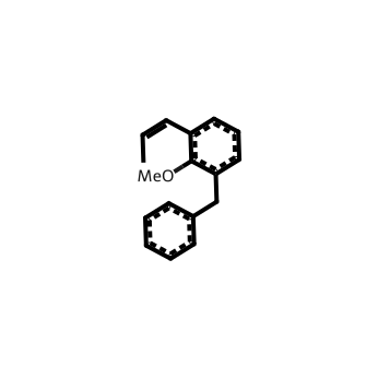 C/C=C\c1cccc(Cc2ccccc2)c1OC